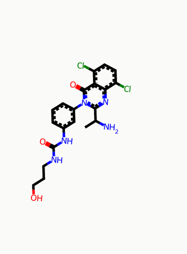 CC(N)c1nc2c(Cl)ccc(Cl)c2c(=O)n1-c1cccc(NC(=O)NCCCO)c1